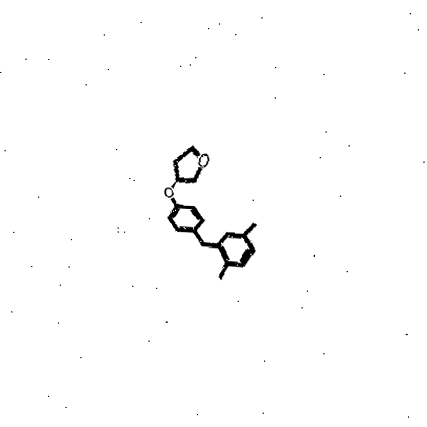 Cc1ccc(C)c(Cc2ccc(O[C@H]3CCOC3)cc2)c1